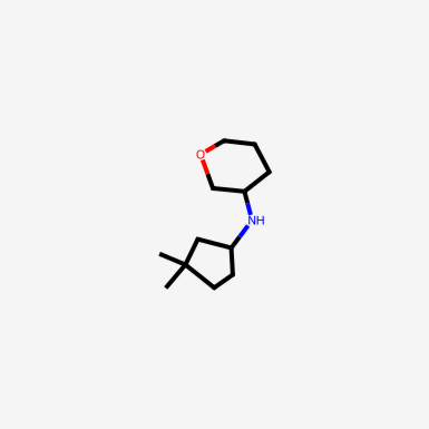 CC1(C)CCC(NC2CCCOC2)C1